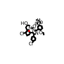 CCOc1ccc(S(=O)(=O)N(C)C)cc1C1=NC(c2ccc(Cl)cc2)C(c2ccc(Cl)cc2)N1C(=O)N1CCCC(O)C1